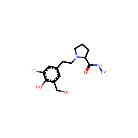 CCCNC(=O)C1CCCN1CCc1cc(O)c(O)c(CO)c1